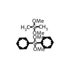 CO[Si](C)(C)OC.CO[Si](OC)(c1ccccc1)c1ccccc1